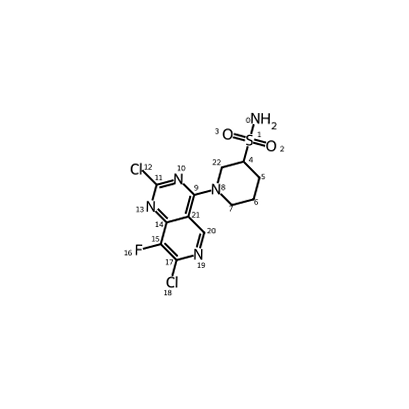 NS(=O)(=O)C1CCCN(c2nc(Cl)nc3c(F)c(Cl)ncc23)C1